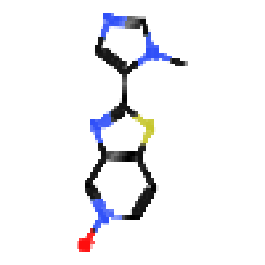 Cn1cncc1-c1nc2c[n+]([O-])ccc2s1